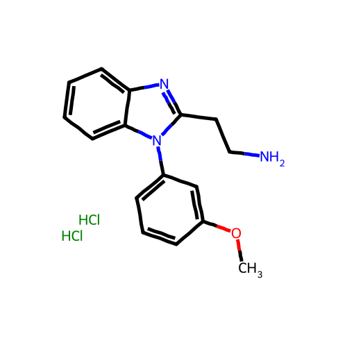 COc1cccc(-n2c(CCN)nc3ccccc32)c1.Cl.Cl